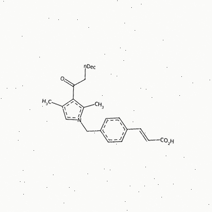 CCCCCCCCCCCC(=O)c1c(C)cn(Cc2ccc(C=CC(=O)O)cc2)c1C